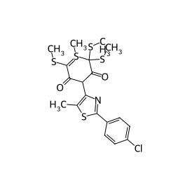 CSC1=S(C)C(SC)(SC)C(=O)C(c2nc(-c3ccc(Cl)cc3)sc2C)C1=O